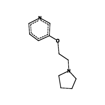 c1cncc(OCCN2CCCC2)c1